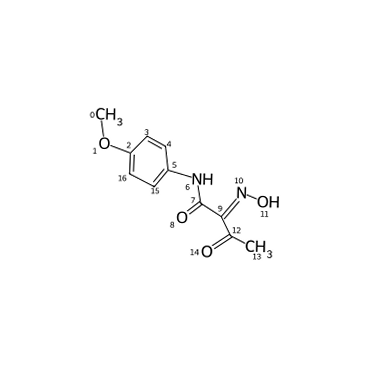 COc1ccc(NC(=O)C(=NO)C(C)=O)cc1